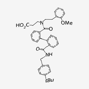 COc1ccccc1CCN(CCC(=O)O)C(=O)c1ccccc1-c1ccccc1C(=O)NCc1ccc(C(C)(C)C)cc1